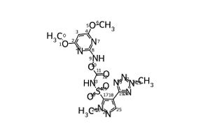 COc1cc(OC)nc(NOC(=O)NS(=O)(=O)c2c(-c3nnn(C)n3)cnn2C)n1